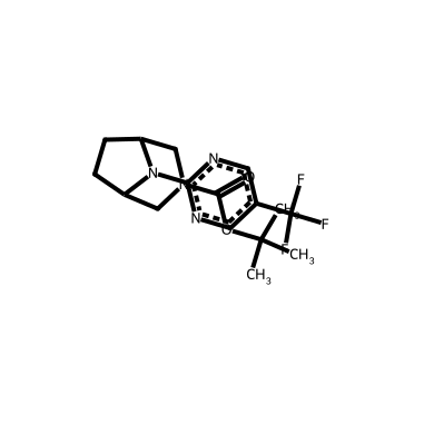 CC(C)(C)OC(=O)N1CC2CCC(C1)N2c1ncc(C(F)(F)F)cn1